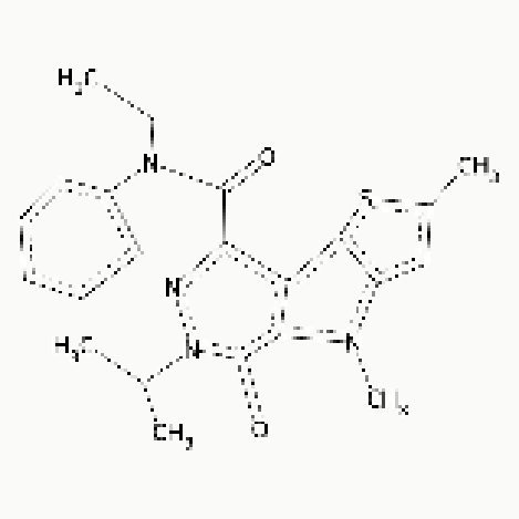 CCN(C(=O)c1nn(C(C)C)c(=O)c2c1c1sc(C)cc1n2C)c1ccccc1